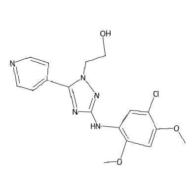 COc1cc(OC)c(Nc2nc(-c3ccncc3)n(CCO)n2)cc1Cl